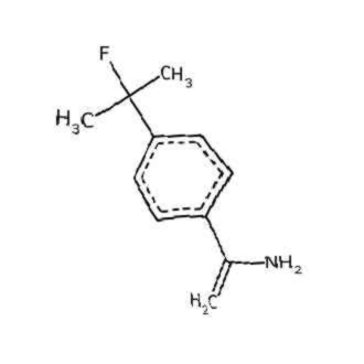 C=C(N)c1ccc(C(C)(C)F)cc1